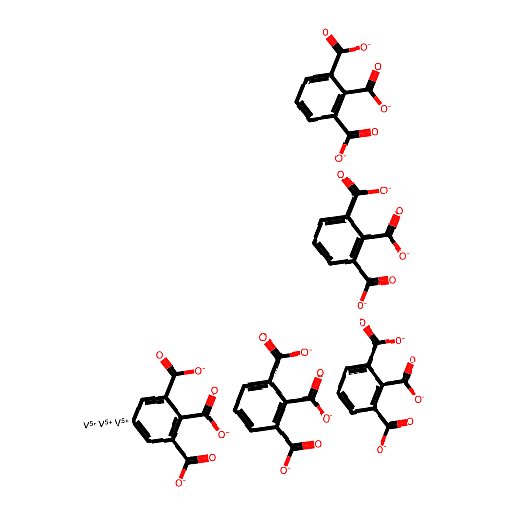 O=C([O-])c1cccc(C(=O)[O-])c1C(=O)[O-].O=C([O-])c1cccc(C(=O)[O-])c1C(=O)[O-].O=C([O-])c1cccc(C(=O)[O-])c1C(=O)[O-].O=C([O-])c1cccc(C(=O)[O-])c1C(=O)[O-].O=C([O-])c1cccc(C(=O)[O-])c1C(=O)[O-].[V+5].[V+5].[V+5]